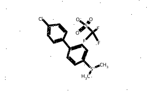 C[S+](C)c1ccc(-c2ccc(Cl)cc2)cc1.O=S(=O)([O-])C(F)(F)F